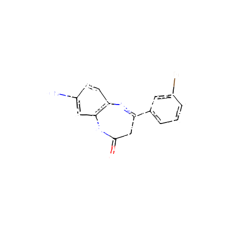 Nc1ccc2c(c1)NC(=O)CC(c1cccc(Br)c1)=N2